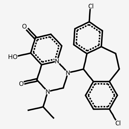 CC(C)N1CN(C2c3ccc(Cl)cc3CCc3cc(Cl)ccc32)n2ccc(=O)c(O)c2C1=O